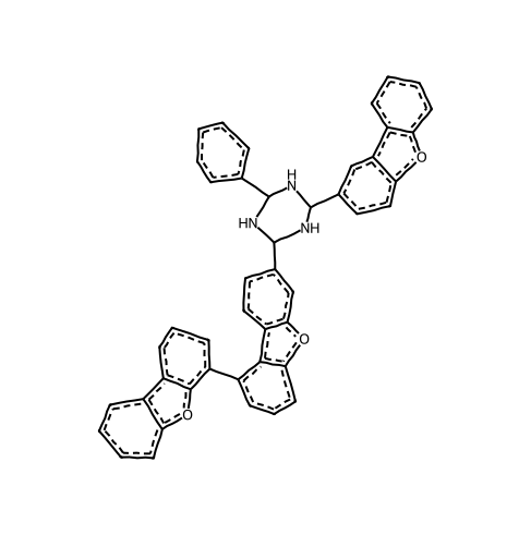 c1ccc(C2NC(c3ccc4c(c3)oc3cccc(-c5cccc6c5oc5ccccc56)c34)NC(c3ccc4oc5ccccc5c4c3)N2)cc1